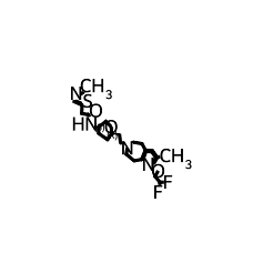 Cc1ncc(CC(=O)N[C@H]2CC[C@H](CCN3CCc4cc(C)c(OCC(F)F)nc4CC3)OC2)s1